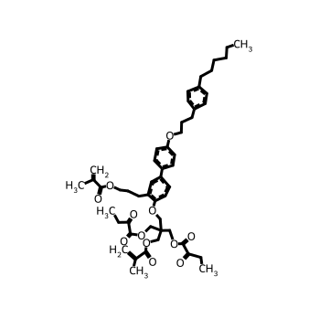 C=C(C)C(=O)OCCCc1cc(-c2ccc(OCCCc3ccc(CCCCCC)cc3)cc2)ccc1OCC(COC(=O)C(=C)C)(COC(=O)C(=O)CC)COC(=O)C(=O)CC